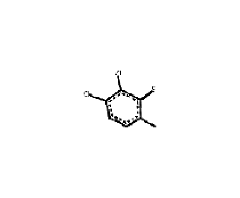 Cc1ccc(Cl)c(Cl)c1F